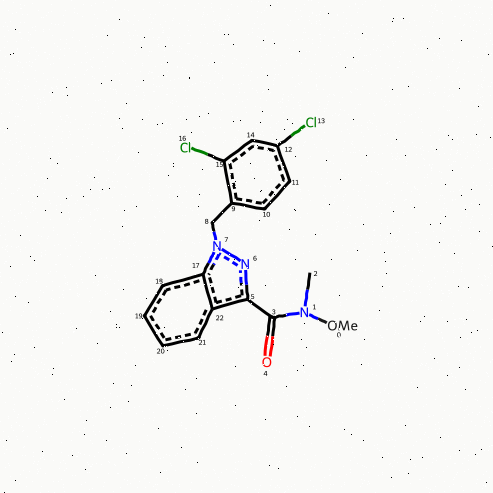 CON(C)C(=O)c1nn(Cc2ccc(Cl)cc2Cl)c2ccccc12